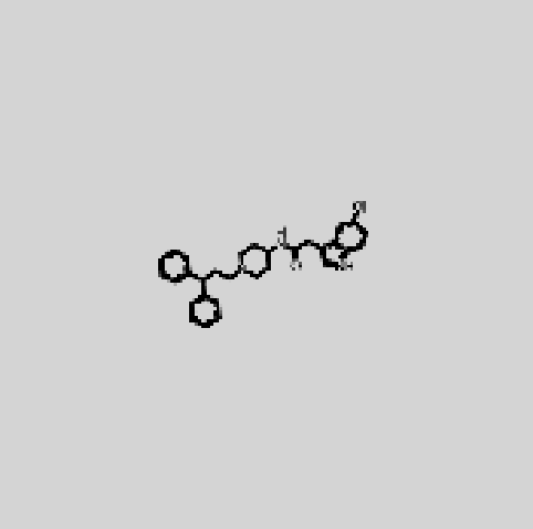 O=C(Cc1c[nH]c2ccc(O)cc12)NC1CCN(CCC(c2ccccc2)c2ccccc2)CC1